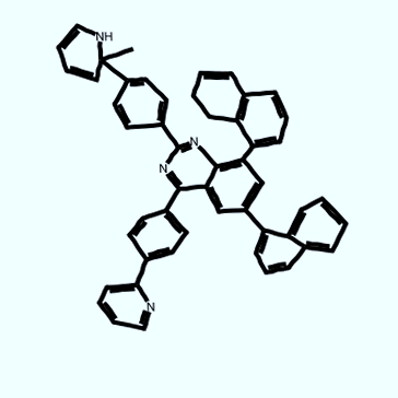 CC1(c2ccc(-c3nc(-c4ccc(-c5ccccn5)cc4)c4cc(-c5cccc6ccccc56)cc(-c5cccc6c5CCC=C6)c4n3)cc2)C=CC=CN1